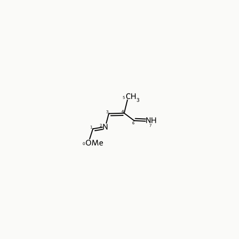 CO/C=N/C=C(/C)C=N